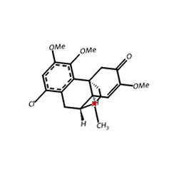 COC1=C[C@H]2[C@H]3Cc4c(Cl)cc(OC)c(OC)c4[C@@]2(CCN3C)CC1=O